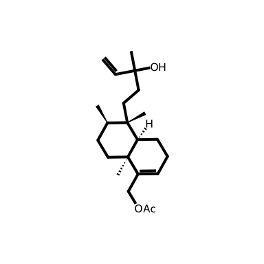 C=CC(C)(O)CC[C@@]1(C)[C@H](C)CC[C@]2(C)C(COC(C)=O)=CCC[C@H]12